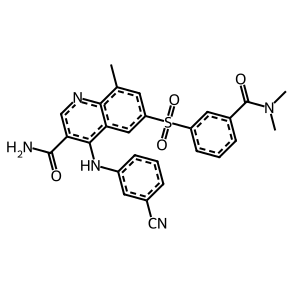 Cc1cc(S(=O)(=O)c2cccc(C(=O)N(C)C)c2)cc2c(Nc3cccc(C#N)c3)c(C(N)=O)cnc12